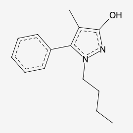 CCCCn1nc(O)c(C)c1-c1ccccc1